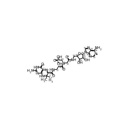 CC1(C)Nc2nc(N)[nH]c(=O)c2N=C1C(=O)NCCC(=O)N(CC(=O)NC[C@H]1O[C@@H](n2cnc3c(N)ncnc32)C(O)C1O)CP(=O)(O)O